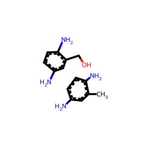 Cc1cc(N)ccc1N.Nc1ccc(N)c(CO)c1